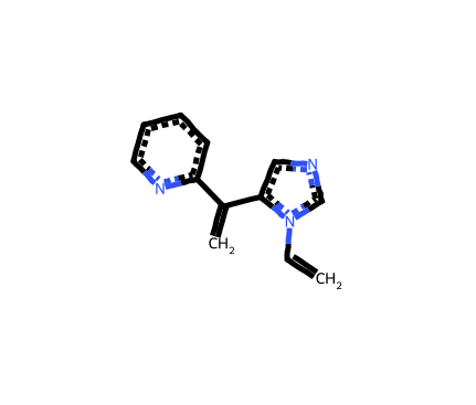 C=Cn1cncc1C(=C)c1ccccn1